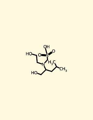 CC(C)CC(CO)N(CCO)CS(=O)(=O)O